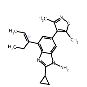 C/C=C(\CC)c1cc(-c2c(C)noc2C)cc2c1nc(C1CC1)n2N